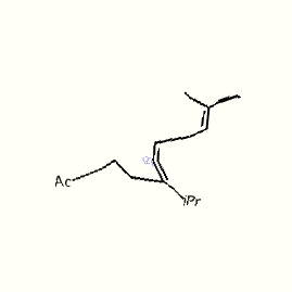 CC(=O)CC/C(=C/C=C(C)C)C(C)C